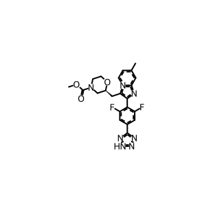 COC(=O)N1CCO[C@@H](Cc2c(-c3c(F)cc(-c4nn[nH]n4)cc3F)nc3cc(C)ccn23)C1